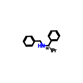 CC(C)[C@H](NCc1ccccc1)c1ccccc1